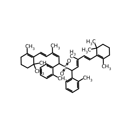 CC(C=CC1=C(C)CCCC1(C)C)=CC(c1ccccc1C)S(=O)(=O)C(C=C(C)C=CC1=C(C)CCCC1(C)C)c1ccccc1C